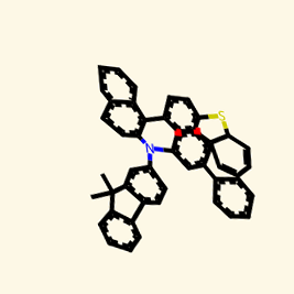 CC1(C)c2ccccc2-c2ccc(N(c3cccc(-c4ccccc4)c3)c3ccc4ccccc4c3-c3ccc4c(c3)C3C=CC=CC3S4)cc21